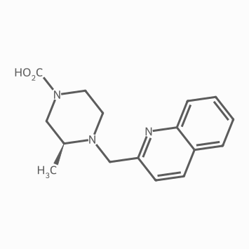 C[C@H]1CN(C(=O)O)CCN1Cc1ccc2ccccc2n1